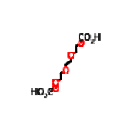 O=C(O)OCCOCCOCCOOC(=O)O